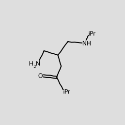 CC(C)NCC(CN)CC(=O)C(C)C